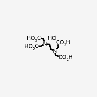 Cl.O=C(O)CN(CCN(CC(=O)O)CC(=O)O)CC(=O)O